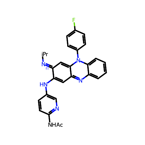 CC(=O)Nc1ccc(Nc2cc3nc4ccccc4n(-c4ccc(F)cc4)c-3c/c2=N\C(C)C)cn1